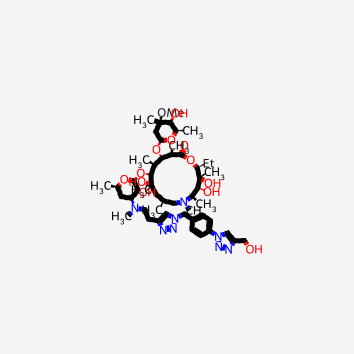 CC[C@H]1OC(=O)[C@H](C)[C@@H](O[C@H]2C[C@@](C)(OC)[C@@H](O)[C@H](C)O2)[C@H](C)[C@@H](O[C@@H]2O[C@H](C)C[C@H](N(C)CCc3cn(Cc4ccc(-n5cc(CO)nn5)cc4)nn3)[C@H]2O)[C@](C)(O)C[C@@H](C)CN(C)[C@H](C)[C@@H](O)[C@]1(C)O